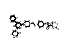 CN(C)C(=O)N[C@H]1CC[C@H](CCN2CCN(c3cc(-c4cccnc4)cc(N4CCOCC4)n3)CC2)CC1